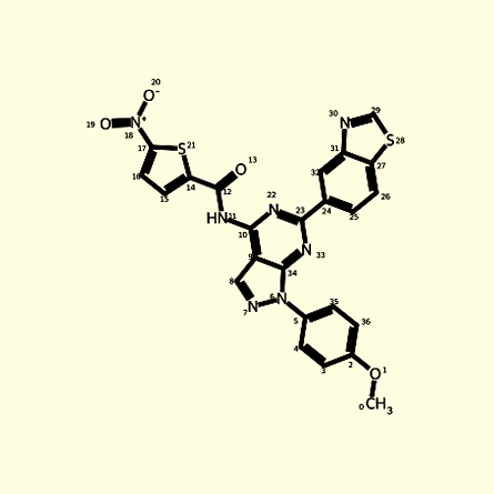 COc1ccc(-n2ncc3c(NC(=O)c4ccc([N+](=O)[O-])s4)nc(-c4ccc5scnc5c4)nc32)cc1